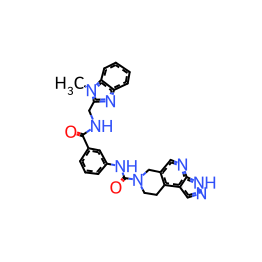 Cn1c(CNC(=O)c2cccc(NC(=O)N3CCc4c(cnc5[nH]ncc45)C3)c2)nc2ccccc21